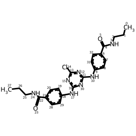 CCCNC(=O)c1ccc(Nc2nc(Cl)nc(Nc3ccc(C(=O)NCCC)cc3)n2)cc1